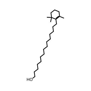 CC1=C(CCCCCCCCCCCCCCCO)C(C)(C)CCC1